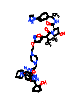 CC(C)[C@H](C(=O)N1C[C@H](O)C[C@H]1C(=O)N[C@@H](C)c1ccc(-n2ccnn2)cc1)c1cc(OCCN2CCN(CCOc3cc(N4C5CCC4CN(c4cc(-c6ccccc6O)nnc4N)C5)ccn3)CC2)no1